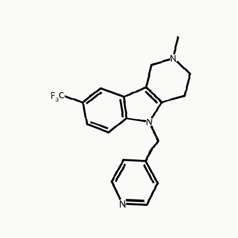 CN1CCc2c(c3cc(C(F)(F)F)ccc3n2Cc2ccncc2)C1